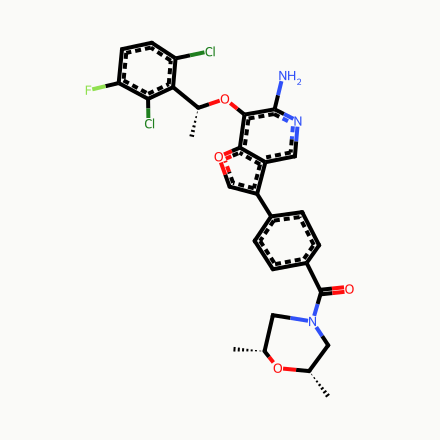 C[C@@H]1CN(C(=O)c2ccc(-c3coc4c(O[C@H](C)c5c(Cl)ccc(F)c5Cl)c(N)ncc34)cc2)C[C@H](C)O1